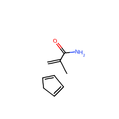 C1=CCC=C1.C=C(C)C(N)=O